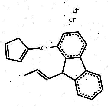 CC=CC1c2ccccc2-c2ccc[c]([Zr+2][C]3=CC=CC3)c21.[Cl-].[Cl-]